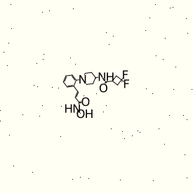 O=C(C=Cc1ccccc1N1CCC(NC(=O)C2CC(F)(F)C2)CC1)NO